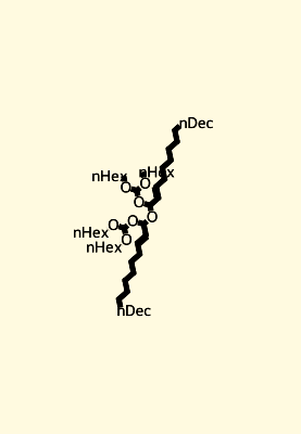 CCCCCCCCCCCCCCCCC=CC(OC(C=CCCCCCCCCCCCCCCCC)OC(OCCCCCC)OCCCCCC)OC(OCCCCCC)OCCCCCC